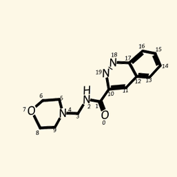 O=C(NCN1CCOCC1)c1cc2ccccc2nn1